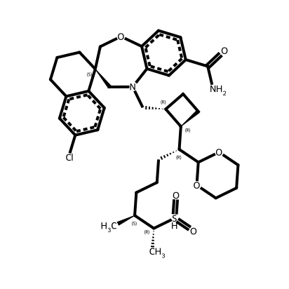 C[C@H]([C@@H](C)CCC[C@@H](C1OCCCO1)[C@@H]1CC[C@H]1CN1C[C@@]2(CCCc3cc(Cl)ccc32)COc2ccc(C(N)=O)cc21)[SH](=O)=O